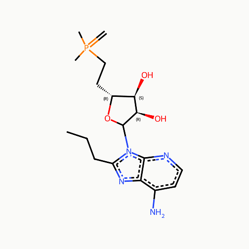 C=P(C)(C)CC[C@H]1OC(n2c(CCC)nc3c(N)ccnc32)[C@H](O)[C@@H]1O